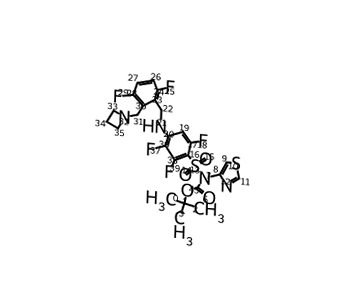 CC(C)(C)OC(=O)N(c1cscn1)S(=O)(=O)c1c(F)cc(NCc2c(F)ccc(F)c2CN2CCC2)c(F)c1F